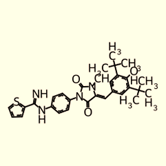 CN1C(=O)N(c2ccc(NC(=N)c3cccs3)cc2)C(=O)/C1=C/c1cc(C(C)(C)C)c(O)c(C(C)(C)C)c1